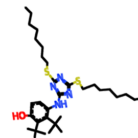 CCCCCCCCSc1nc(Nc2ccc(O)c(C(C)(C)C)c2C(C)(C)C)nc(SCCCCCCCC)n1